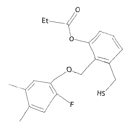 CCC(=O)Oc1cccc(CS)c1COc1cc(C)c(C)cc1F